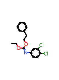 CCOC(=Nc1ccc(Cl)c(Cl)c1)OCCc1ccccc1